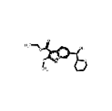 CCOC(=O)c1c(SC)nn2cc(C(O)C3CCCCO3)ccc12